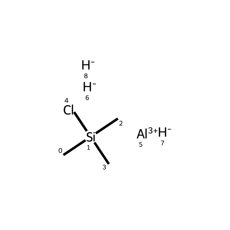 C[Si](C)(C)Cl.[Al+3].[H-].[H-].[H-]